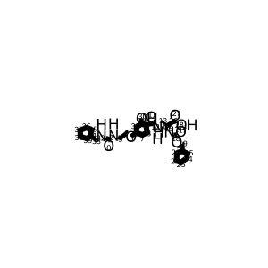 O=C(NCCOc1ccc(C(=O)NC[C@H](NC(=O)OCc2ccccc2)C(=O)O)c(O)c1)NCc1ccccc1